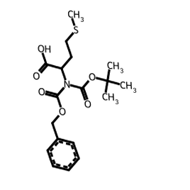 CSCCC(C(=O)O)N(C(=O)OCc1ccccc1)C(=O)OC(C)(C)C